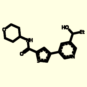 CCC(O)c1cncc(-c2csc(C(=O)NC3CCOCC3)c2)c1